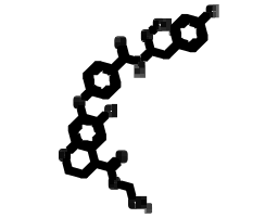 CCOC(=O)C1CCOc2cc(Oc3ccc(C(=O)NC(Cc4ccc(Cl)cc4)OC)cc3)c(Cl)cc21